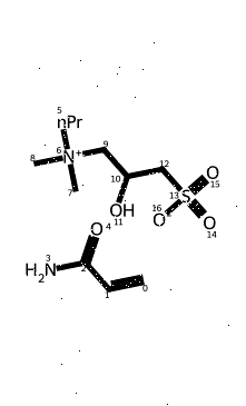 C=CC(N)=O.CCC[N+](C)(C)CC(O)CS(=O)(=O)[O-]